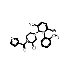 Cc1ccccc1N1C(C(C)C)=CC=C(C#N)[C@@H]1N1CCN(C(=O)c2ccoc2)C(C)C1